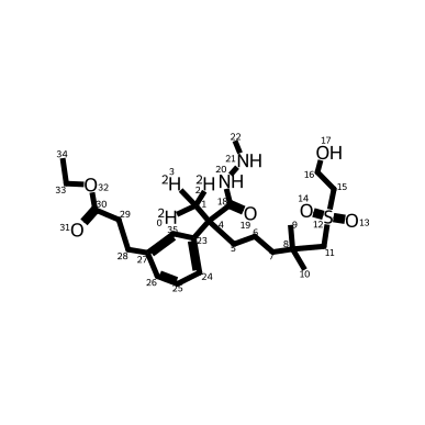 [2H]C([2H])([2H])C(CCCC(C)(C)CS(=O)(=O)CCO)(C(=O)NNC)c1cccc(CCC(=O)OCC)c1